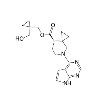 O=C(OCC1(CO)CC1)[C@@H]1CCN(c2ncnc3[nH]ccc23)CC12CC2